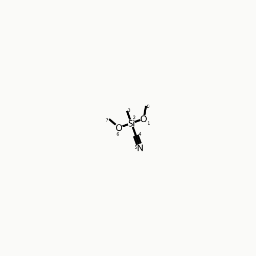 CO[Si](C)(C#N)OC